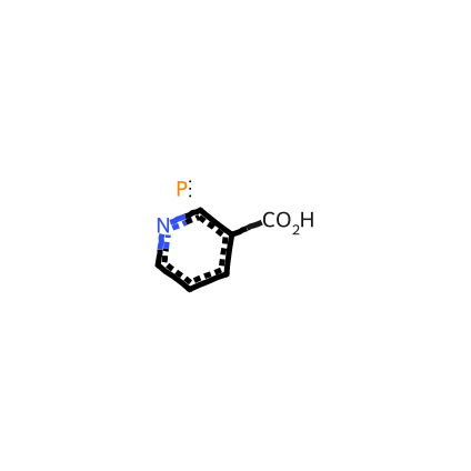 O=C(O)c1cccnc1.[P]